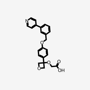 O=C(O)COC1(c2ccc(OCc3cccc(-c4ccncc4)c3)cc2)COC1